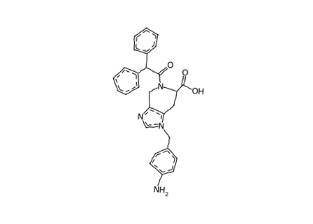 Nc1ccc(Cn2cnc3c2CC(C(=O)O)N(C(=O)C(c2ccccc2)c2ccccc2)C3)cc1